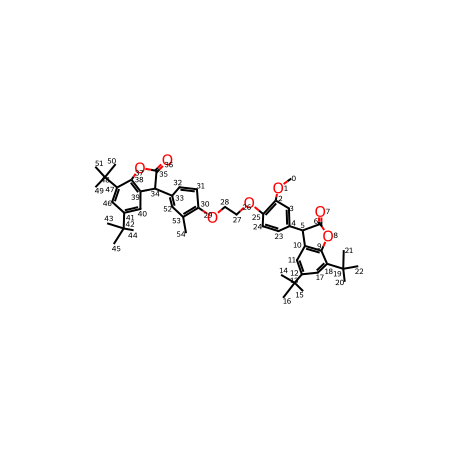 COc1cc(C2C(=O)Oc3c2cc(C(C)(C)C)cc3C(C)(C)C)ccc1OCCOc1ccc(C2C(=O)Oc3c2cc(C(C)(C)C)cc3C(C)(C)C)cc1C